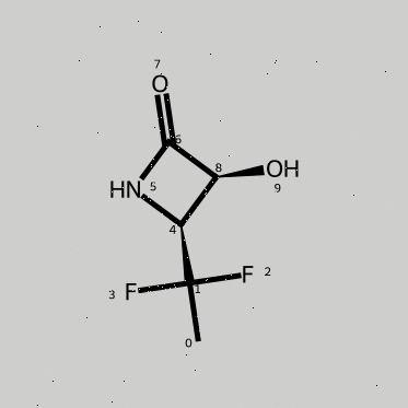 CC(F)(F)[C@H]1NC(=O)[C@H]1O